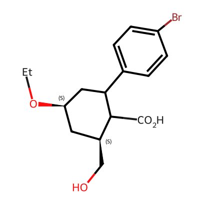 CCO[C@H]1CC(c2ccc(Br)cc2)C(C(=O)O)[C@@H](CO)C1